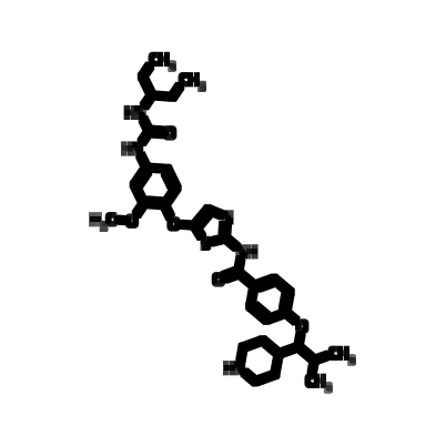 CCC(CC)NC(=O)Nc1ccc(Oc2cnc(NC(=O)c3ccc(OC(C(C)C)C4CCNCC4)cc3)s2)c(OC)c1